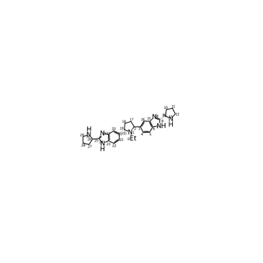 CCN1C(c2ccc3[nH]c([C@@H]4CCCN4)nc3c2)CC[C@H]1c1ccc2[nH]c(C3CCCN3)nc2c1